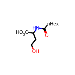 CCCCCCC(=O)NC(CCO)C(=O)O